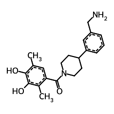 Cc1cc(C(=O)N2CCC(c3cccc(CN)c3)CC2)c(C)c(O)c1O